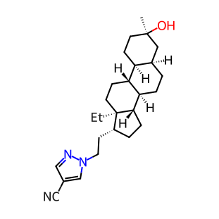 CC[C@]12CC[C@H]3[C@@H](CC[C@@H]4C[C@](C)(O)CC[C@@H]43)[C@@H]1CC[C@@H]2CCn1cc(C#N)cn1